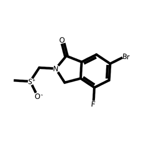 C[S+]([O-])CN1Cc2c(F)cc(Br)cc2C1=O